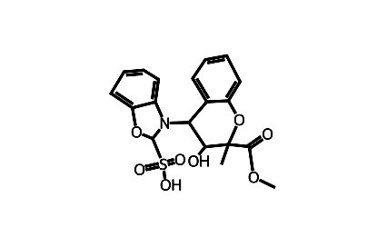 COC(=O)C1(C)Oc2ccccc2C(N2c3ccccc3OC2S(=O)(=O)O)C1O